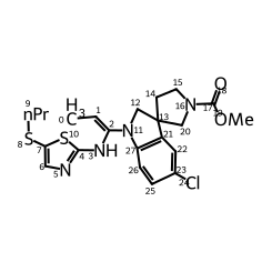 CC=C(Nc1ncc(SCCC)s1)N1CC2(CCN(C(=O)OC)C2)c2cc(Cl)ccc21